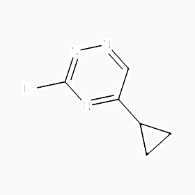 Brc1nncc(C2CC2)n1